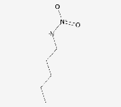 CCCCC[N][N+](=O)[O-]